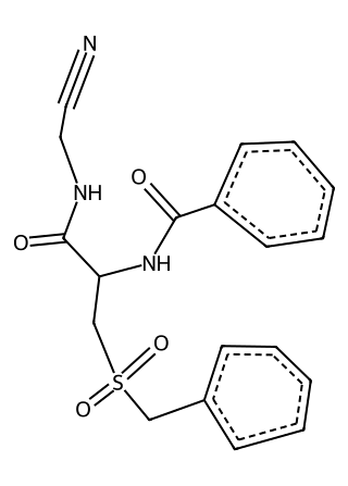 N#CCNC(=O)C(CS(=O)(=O)Cc1ccccc1)NC(=O)c1ccccc1